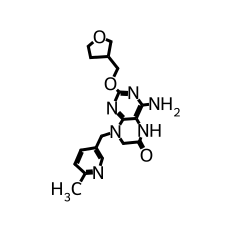 Cc1ccc(CN2CC(=O)Nc3c(N)nc(OCC4CCOC4)nc32)cn1